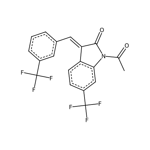 CC(=O)N1C(=O)/C(=C/c2cccc(C(F)(F)F)c2)c2ccc(C(F)(F)F)cc21